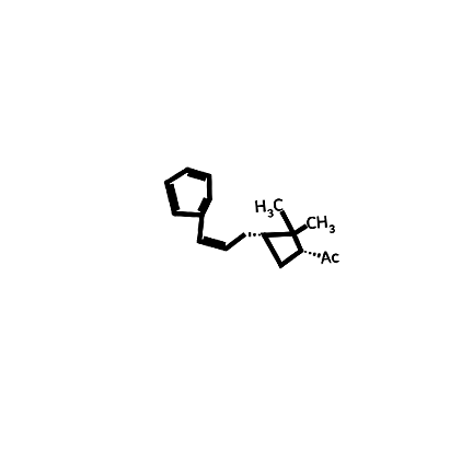 CC(=O)[C@@H]1C[C@H](C/C=C\c2ccccc2)C1(C)C